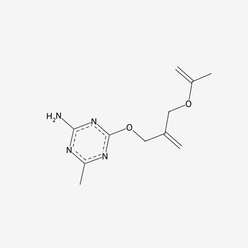 C=C(COC(=C)C)COc1nc(C)nc(N)n1